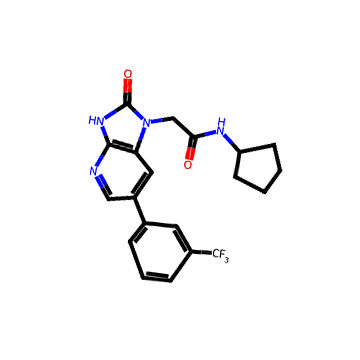 O=C(Cn1c(=O)[nH]c2ncc(-c3cccc(C(F)(F)F)c3)cc21)NC1CCCC1